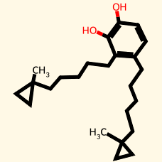 CC1(CCCCCc2ccc(O)c(O)c2CCCCCC2(C)CC2)CC1